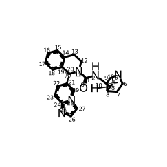 O=C(N[C@@H]1CN2CCC1CC2)N1CCc2ccccc2[C@@H]1c1ccc2nccn2c1